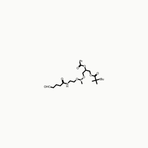 CC(C)C(=O)OC(COC(=O)C(C)(C)C(C)(C)C)COP(C)OCCNC(=O)CCCC=O